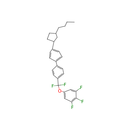 CCCCC1CCC(c2ccc(-c3ccc(C(F)(F)Oc4cc(F)c(F)c(F)c4)cc3)cc2)C1